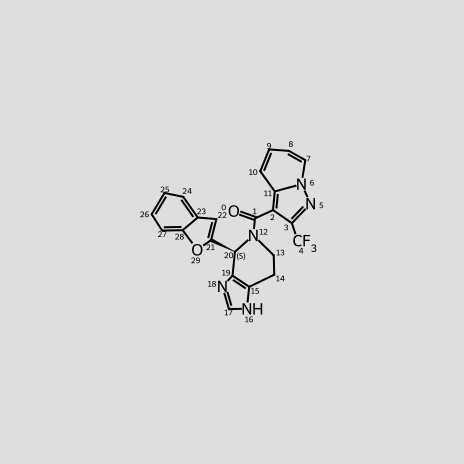 O=C(c1c(C(F)(F)F)nn2ccccc12)N1CCc2[nH]cnc2[C@H]1c1cc2ccccc2o1